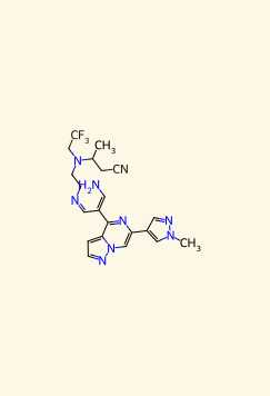 CC(CC#N)N(CC/N=C\C(=C/N)c1nc(-c2cnn(C)c2)cn2nccc12)CC(F)(F)F